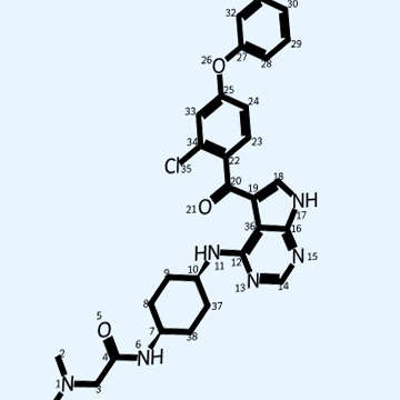 CN(C)CC(=O)N[C@H]1CC[C@@H](Nc2ncnc3[nH]cc(C(=O)c4ccc(Oc5ccccc5)cc4Cl)c23)CC1